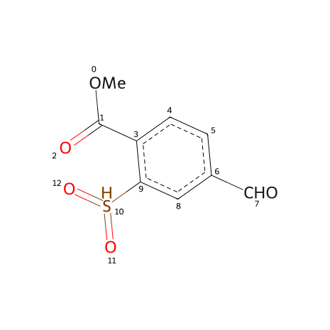 COC(=O)c1ccc(C=O)cc1[SH](=O)=O